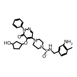 Cc1ccc(CN[S+]([O-])N2CCN(c3cnn(-c4ccccc4)c(=O)c3OC3CCC(O)C3)CC2)cc1N